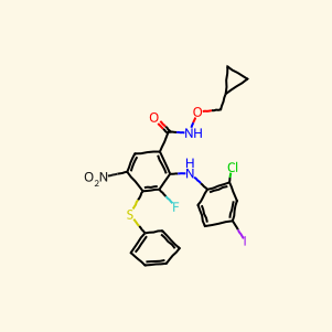 O=C(NOCC1CC1)c1cc([N+](=O)[O-])c(Sc2ccccc2)c(F)c1Nc1ccc(I)cc1Cl